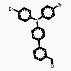 O=Cc1cccc(-c2ccc(N(c3ccc(Br)cc3)c3ccc(Br)cc3)cc2)c1